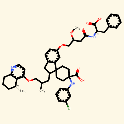 COC(COc1ccc2c(c1)C1(CCC(Nc3cccc(Cl)c3)(C(=O)O)CC1)C(C[C@@H](C)COc1ccnc3c1[C@H](C)CCC3)C2)CC(=O)N[C@H](Cc1ccccc1)C(=O)O